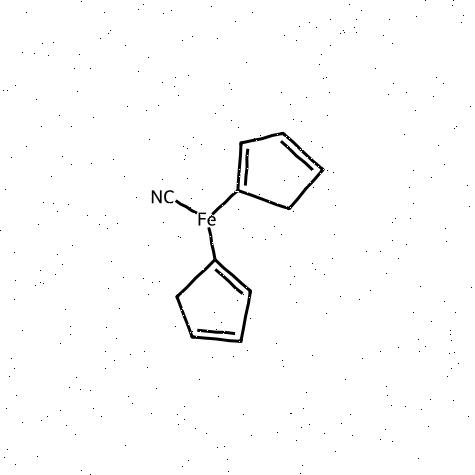 N#[C][Fe]([C]1=CC=CC1)[C]1=CC=CC1